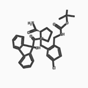 CC(C)(C)OC(=O)NCc1ccc(Cl)cc1C[N+]1(C(=O)C2(O)c3ccccc3-c3ccccc32)CCC[C@H]1C(N)=O